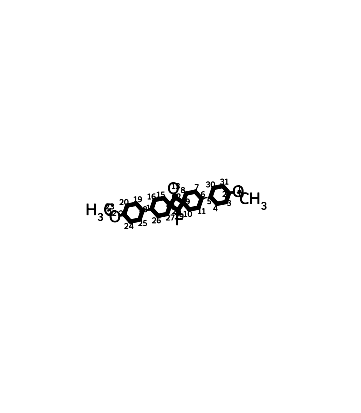 CO[C@H]1CC[C@H](C2CCC3(CC2)C(=O)C2(CCC([C@H]4CC[C@H](OC)CC4)CC2)C3F)CC1